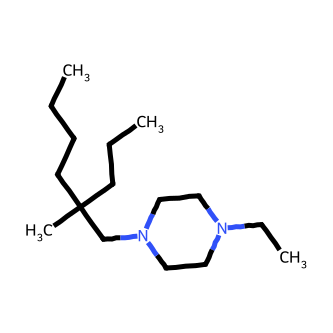 CCCCC(C)(CCC)CN1CCN(CC)CC1